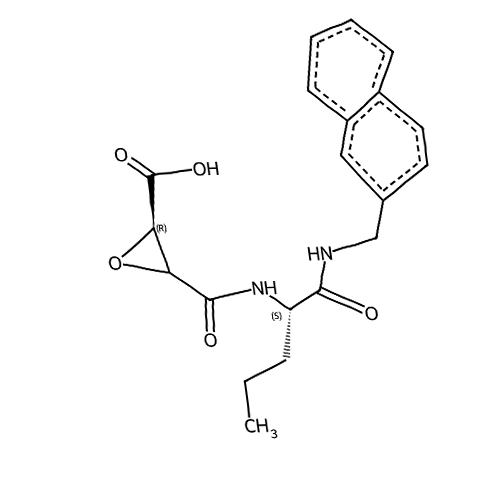 CCC[C@H](NC(=O)C1O[C@H]1C(=O)O)C(=O)NCc1ccc2ccccc2c1